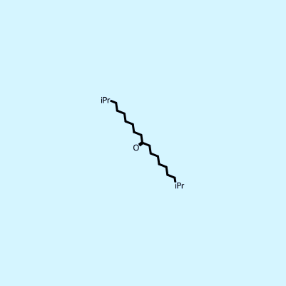 CC(C)CCCCCCCC(=O)CCCCCCCC(C)C